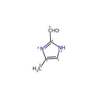 Cc1c[nH]c([C]=O)n1